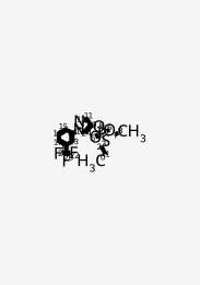 CCCSP(=O)(OCC)Oc1cnn(-c2cccc(C(F)(F)F)c2)c1